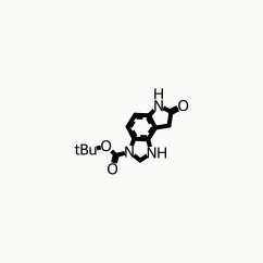 CC(C)(C)OC(=O)N1CNc2c1ccc1c2CC(=O)N1